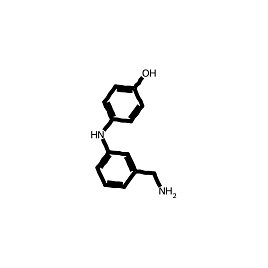 NCc1cccc(Nc2ccc(O)cc2)c1